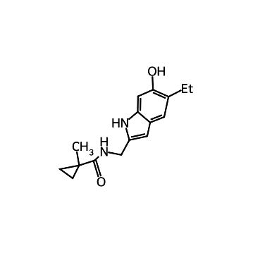 CCc1cc2cc(CNC(=O)C3(C)CC3)[nH]c2cc1O